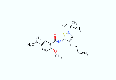 CCCCc1cn(C(C)(C)C)s/c1=N\C(=O)c1cc(C(C)C)ccc1OC